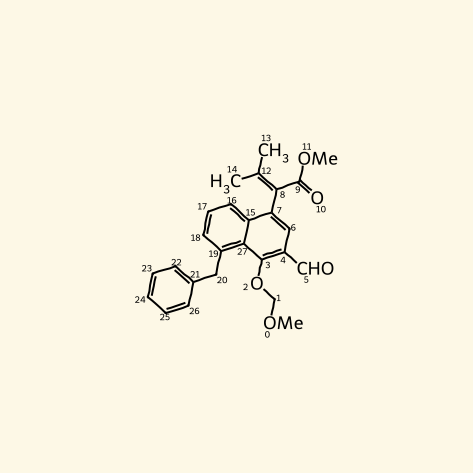 COCOc1c(C=O)cc(C(C(=O)OC)=C(C)C)c2cccc(Cc3ccccc3)c12